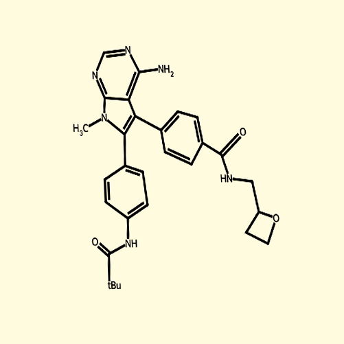 Cn1c(-c2ccc(NC(=O)C(C)(C)C)cc2)c(-c2ccc(C(=O)NCC3CCO3)cc2)c2c(N)ncnc21